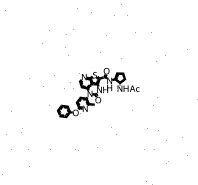 CC(=O)N[C@H]1CCC=C1NC(=O)c1sc2nccc3c2c1NC(=O)N3c1ccc(Oc2ccccc2)nc1C